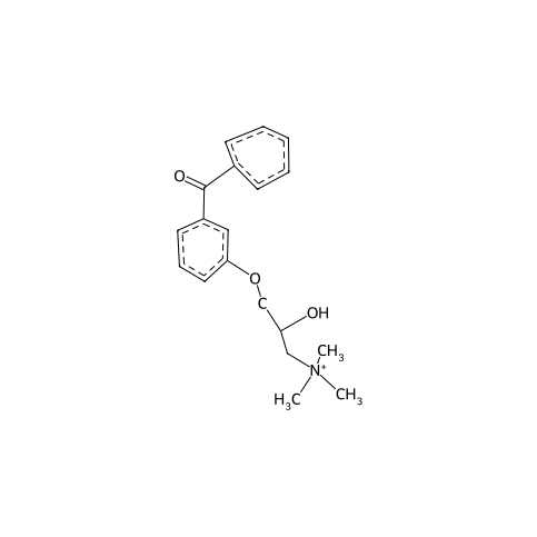 C[N+](C)(C)CC(O)COc1cccc(C(=O)c2ccccc2)c1